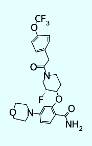 NC(=O)c1ccc(N2CCOCC2)cc1O[C@@H]1CCN(C(=O)Cc2ccc(OC(F)(F)F)cc2)C[C@H]1F